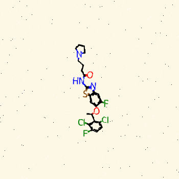 CC(Oc1cc2sc(NC(=O)CCCN3CCCC3)nc2cc1F)c1c(Cl)ccc(F)c1Cl